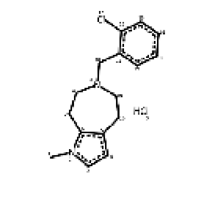 Cl.Cn1ccc2c1CCN(Cc1ccccc1Cl)CC2